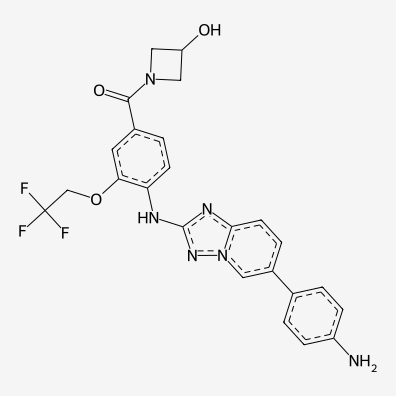 Nc1ccc(-c2ccc3nc(Nc4ccc(C(=O)N5CC(O)C5)cc4OCC(F)(F)F)nn3c2)cc1